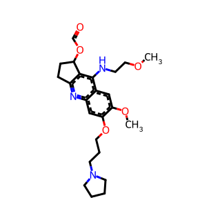 COCCNc1c2c(nc3cc(OCCCN4CCCC4)c(OC)cc13)CCC2OC=O